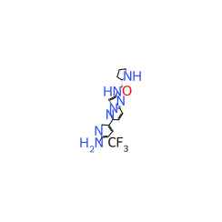 Nc1ncc(-c2ccc3nc(NC(=O)[C@@H]4CCCN4)cn3n2)cc1C(F)(F)F